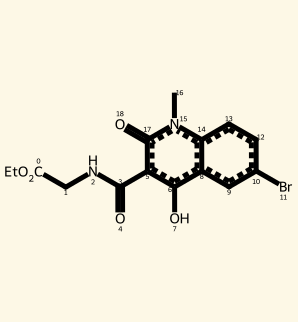 CCOC(=O)CNC(=O)c1c(O)c2cc(Br)ccc2n(C)c1=O